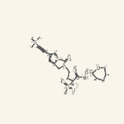 C[C@](CCN1Cc2cc(C#C[Si](C)(C)C)cn2C1=O)(C(=O)NO[C@H]1CCCCO1)S(C)(=O)=O